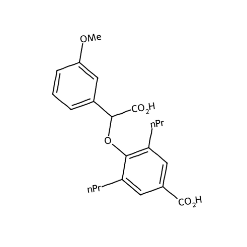 CCCc1cc(C(=O)O)cc(CCC)c1OC(C(=O)O)c1cccc(OC)c1